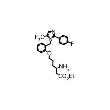 CCOC(=O)C[C@H](N)CCCOc1ccccc1Cn1c(C(F)(F)F)cnc1-c1ccc(F)cc1